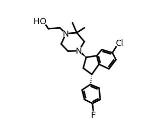 CC1(C)CN([C@@H]2C[C@@H](c3ccc(F)cc3)c3ccc(Cl)cc32)CCN1CCO